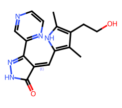 Cc1[nH]c(/C=C2/C(=O)NN=C2c2cnccn2)c(C)c1CCO